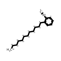 [C-]#[N+]c1ccccc1CCCCCCCCCCCC